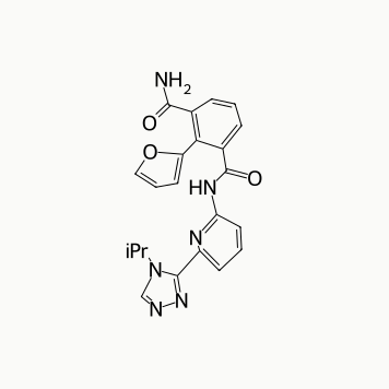 CC(C)n1cnnc1-c1cccc(NC(=O)c2cccc(C(N)=O)c2-c2ccco2)n1